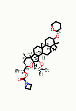 CC[Si](CC)(CC)O[C@H]1[C@H]2O[C@@H]([C@H](OC(=O)N3CCC3)C(C)C)C[C@@H](C)[C@@H]2[C@@]2(C)CCC34C[C@@]35CCC(O[C@H]3CCCCO3)C(C)(C)[C@@H]5CC[C@H]4[C@]12C